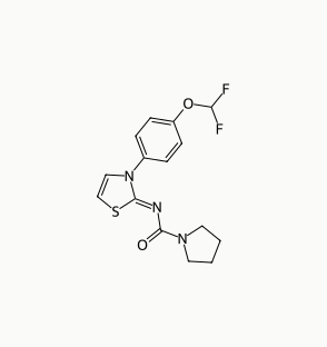 O=C(N=c1sccn1-c1ccc(OC(F)F)cc1)N1CCCC1